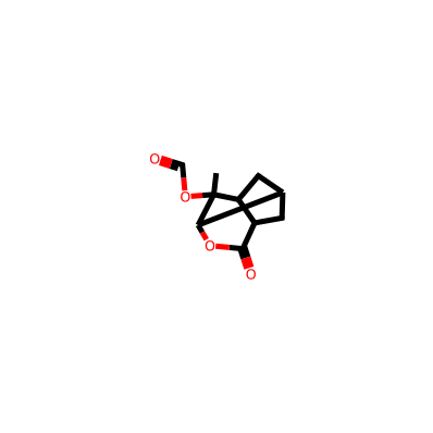 CC1(OC=O)C2CC3CC2C(=O)OC31